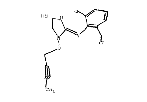 CC#CCON1CCN/C1=N\c1c(Cl)cccc1Cl.Cl